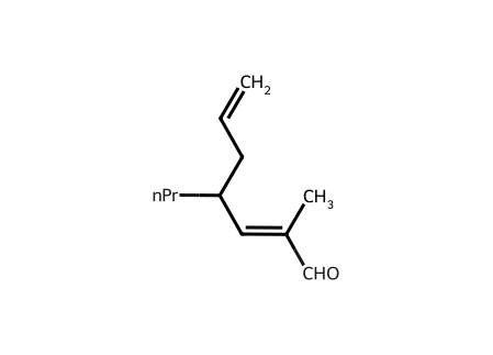 C=CCC(C=C(C)C=O)CCC